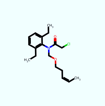 C/C=C\CCOCN(C(=O)CCl)c1c(CC)cccc1CC